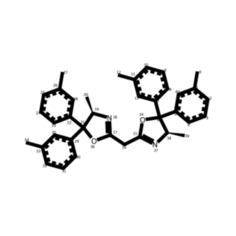 Cc1cccc(C2(c3cccc(C)c3)OC(CC3=N[C@H](C)C(c4cccc(C)c4)(c4cccc(C)c4)O3)=N[C@@H]2C)c1